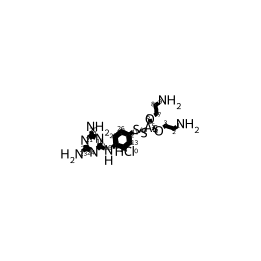 Cl.NCCO[As](OCCN)SSc1ccc(Nc2nc(N)nc(N)n2)cc1